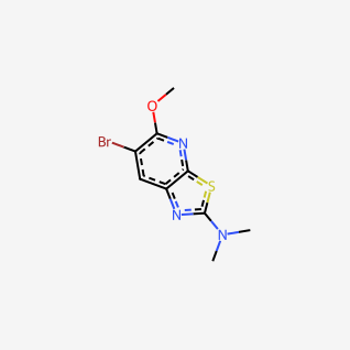 COc1nc2sc(N(C)C)nc2cc1Br